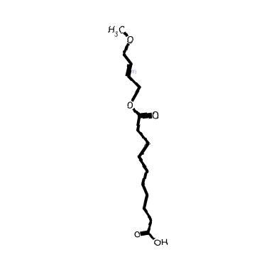 COC/C=C/COC(=O)CCCCCCCCC(=O)O